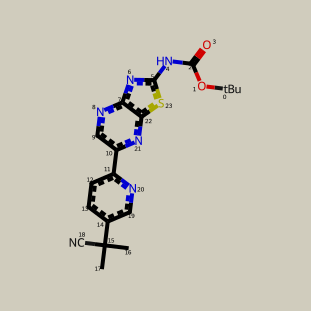 CC(C)(C)OC(=O)Nc1nc2ncc(-c3ccc(C(C)(C)C#N)cn3)nc2s1